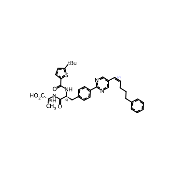 C[C@@H](NC(=O)[C@H](Cc1ccc(-c2ncc(/C=C\CCCc3ccccc3)cn2)cc1)NC(=O)c1ccc(C(C)(C)C)s1)C(=O)O